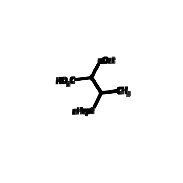 CCCCCCCCC(C(=O)O)C(C)CCCCCCC